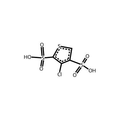 O=S(=O)(O)c1csc(S(=O)(=O)O)c1Cl